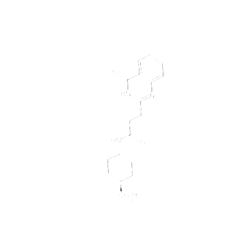 O=C(CCc1nc2ccccc2c(=O)[nH]1)N[C@H]1CC[C@H](C(=O)O)CC1